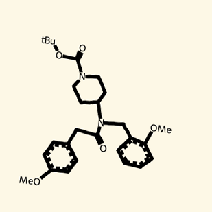 COc1ccc(CC(=O)N(Cc2ccccc2OC)C2CCN(C(=O)OC(C)(C)C)CC2)cc1